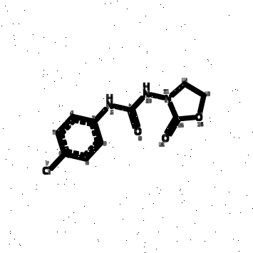 O=C(Nc1ccc(Cl)cc1)NN1CCOC1=O